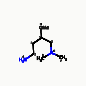 COC(CCN)CN(C)C